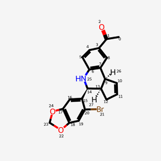 CC(=O)c1ccc2c(c1)[C@H]1C=CC[C@H]1[C@@H](c1cc3c(cc1Br)OCO3)N2